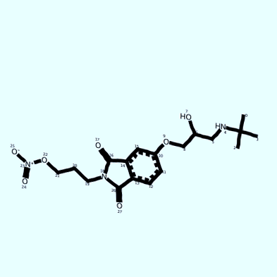 CC(C)(C)NCC(O)COc1ccc2c(c1)C(=O)N(CCCO[N+](=O)[O-])C2=O